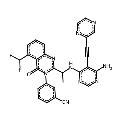 CC(Nc1ncnc(N)c1C#Cc1cnccn1)c1nc2cccc(C(F)F)c2c(=O)n1-c1cccc(C#N)c1